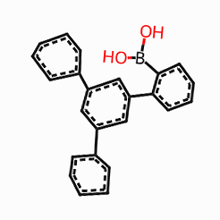 OB(O)c1ccccc1-c1cc(-c2ccccc2)cc(-c2ccccc2)c1